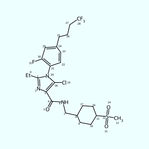 CCc1nc(C(=O)NCC2CCC(S(C)(=O)=O)CC2)c(Cl)n1-c1ccc(CCCC(F)(F)F)cc1F